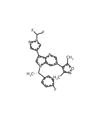 Cc1noc(C)c1-c1cnc2c(-c3cnn(C(F)F)c3)cn([C@@H](C)c3ccc(F)cc3)c2c1